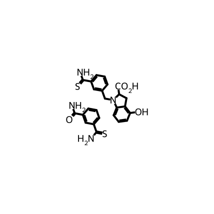 NC(=O)c1cccc(C(N)=S)c1.NC(=S)c1cccc(CN2c3cccc(O)c3CC2C(=O)O)c1